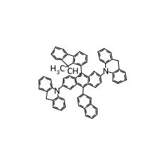 CC1(C)c2ccccc2-c2cccc(-c3c4ccc(N5c6ccccc6Cc6ccccc65)cc4c(-c4ccc5ccccc5c4)c4ccc(N5c6ccccc6Cc6ccccc65)cc34)c21